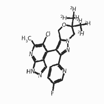 [2H]C([2H])([2H])C1(C([2H])([2H])[2H])Cn2nc(-c3ccc(F)cn3)c(-c3c(Cl)c(C)nc4[nH]ncc34)c2CO1